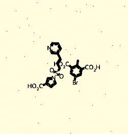 Cc1c(C(=O)O)cc(Br)cc1C(=O)O.O=C(O)c1ccn(S(=O)(=O)CC=Cc2cccnc2)c1